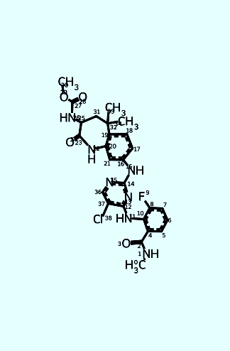 CNC(=O)c1cccc(F)c1Nc1nc(Nc2ccc3c(c2)NC(=O)C(NC(=O)OC)CC3(C)C)ncc1Cl